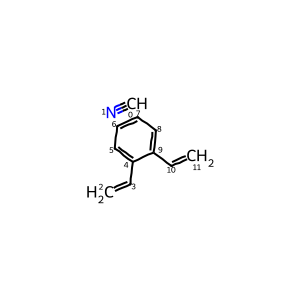 C#N.C=Cc1ccccc1C=C